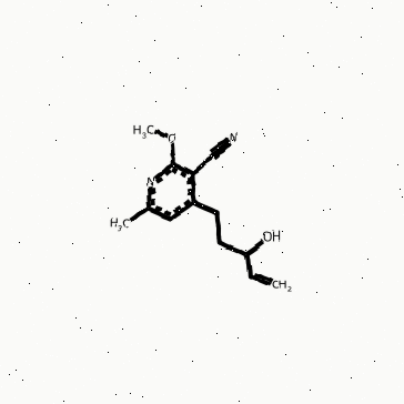 C=CC(O)CCc1cc(C)nc(OC)c1C#N